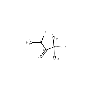 CC(I)C(=O)C(F)(P)P